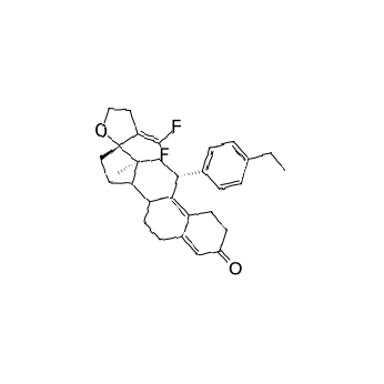 CCc1ccc([C@H]2C[C@@]3(C)C(CC[C@]34OCCC4=C(F)F)C3CCC4=CC(=O)CCC4=C32)cc1